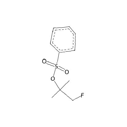 CC(C)(CF)OS(=O)(=O)c1ccccc1